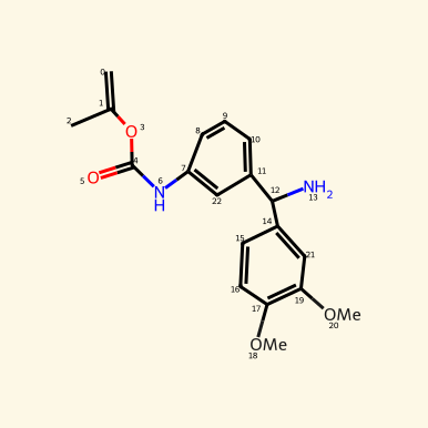 C=C(C)OC(=O)Nc1cccc(C(N)c2ccc(OC)c(OC)c2)c1